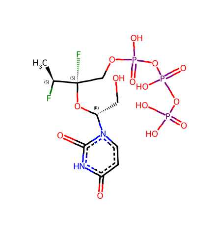 C[C@H](F)[C@@](F)(COP(=O)(O)OP(=O)(O)OP(=O)(O)O)O[C@H](CO)n1ccc(=O)[nH]c1=O